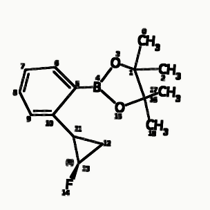 CC1(C)OB(c2ccccc2C2C[C@H]2F)OC1(C)C